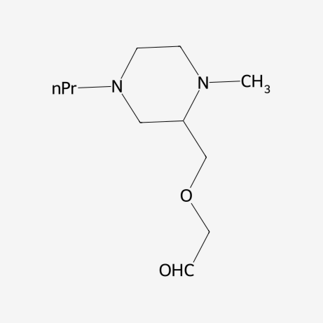 CCCN1CCN(C)C(COCC=O)C1